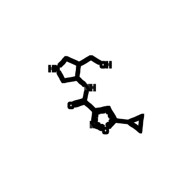 O=C(NC1CNCC1CO)c1cc(C2CC2)on1